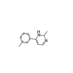 Cc1cccc(C2=CC=NC(C)N2)c1